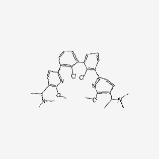 COc1nc(-c2cccc(-c3cccc(-c4ccc(C(C)N(C)C)c(OC)n4)c3Cl)c2Cl)ccc1C(C)N(C)C